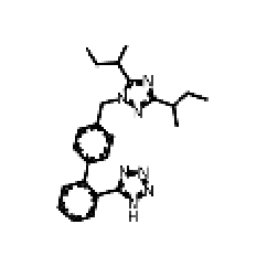 CCC(C)c1nc(C(C)CC)n(Cc2ccc(-c3ccccc3-c3nnn[nH]3)cc2)n1